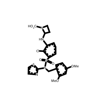 COc1ccc(CN(c2nccs2)S(=O)(=O)c2cccc(NC3CCN3C(=O)O)c2Cl)c(OC)c1